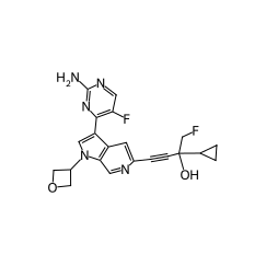 Nc1ncc(F)c(-c2cn(C3COC3)c3cnc(C#CC(O)(CF)C4CC4)cc23)n1